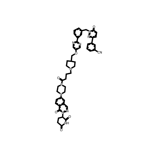 N#Cc1cccc(-c2ccc(=O)n(Cc3cccc(-c4ncc(OCC5CCN(CCCC(=O)N6CCN(c7ccc8c(=O)n(C9CCC(=O)NC9=O)ncc8c7)CC6)CC5)cn4)c3)n2)c1